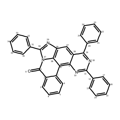 O=c1c2ccccc2c2c3nc(-c4ccccc4)nc(-c4ccccc4)c3cc3nc(-c4ccccc4)n1c32